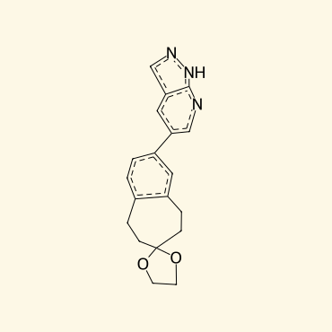 c1cc2c(cc1-c1cnc3[nH]ncc3c1)CCC1(CC2)OCCO1